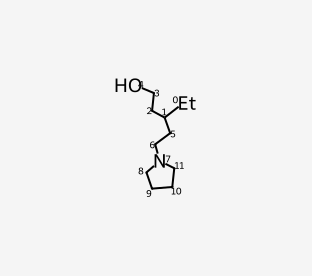 CCC(CCO)CCN1CCCC1